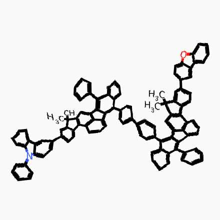 CC1(C)c2cc(-c3ccc4oc5ccccc5c4c3)ccc2-c2c1cc1c3c(cccc23)-c2c-1c(-c1ccc(-c3ccc(-c4c5c(c(-c6ccccc6)c6ccccc46)-c4cc6c(c7cccc-5c47)-c4ccc(-c5ccc7c(c5)c5ccccc5n7-c5ccccc5)cc4C6(C)C)cc3)cc1)c1ccccc1c2-c1ccccc1